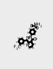 NS(=O)(=O)c1ccc(-n2nc(-c3cccc(C(F)(F)F)c3)c3ncccc3c2=O)cc1